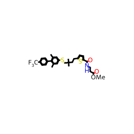 COC(=O)CCNC(=O)c1ccc(CCC(C)(C)CSc2cc(C)c(-c3ccc(C(F)(F)F)cc3)c(C)c2)s1